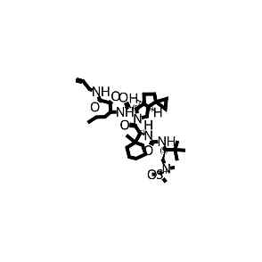 C=CCNC(=O)C(=O)C(CCC)NC(=O)[C@@H]1[C@H]2CCC3(CC3)[C@H]2CN1C(=O)[C@@H](NC(=O)N[C@H](CN(C)[S+](C)[O-])C(C)(C)C)C1(C)CCCCC1